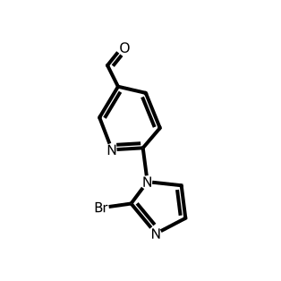 O=Cc1ccc(-n2ccnc2Br)nc1